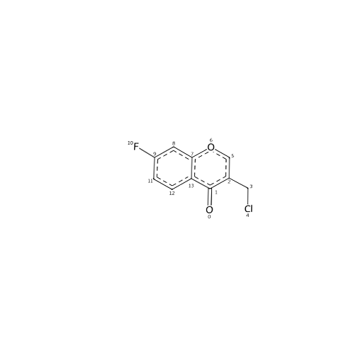 O=c1c(CCl)coc2cc(F)ccc12